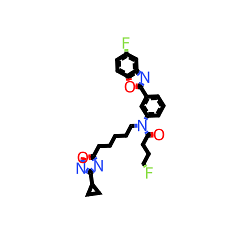 O=C(CCCF)N(CCCCCc1nc(C2CC2)no1)c1cccc(-c2nc3cc(F)ccc3o2)c1